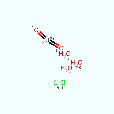 O.O.O.[Cl-].[Cl-].[O]=[U+2]=[O]